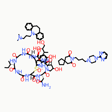 CCC(C)[C@@H]1NC(=O)CNC(=O)[C@@H]2Cc3c([nH]c4cc(O)ccc34)[S@+]([O-])C[C@H](NC(=O)CNC1=O)C(=O)N[C@@H](CC(N)=O)C(=O)N1CC(O)C[C@H]1C(=O)N[C@@H](C(C)[C@@H](O)CO)C(=O)N2.CN(C)CCCN1c2ccccc2CCc2ccccc21.O=C1CC2(CCCC2)CC(=O)N1CCCCN1CCN(c2ncccn2)CC1